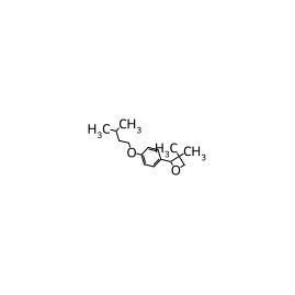 CC(C)CCOc1ccc(C2OCC2(C)C)cc1